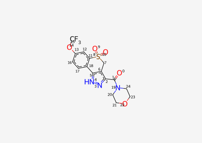 O=C(c1n[nH]c2c1CS(=O)(=O)c1cc(OC(F)(F)F)ccc1-2)N1CCOCC1